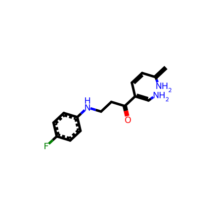 C=C(N)/C=C\C(=C/N)C(=O)CCNc1ccc(F)cc1